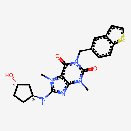 Cn1c(N[C@H]2CC[C@H](O)C2)nc2c1c(=O)n(Cc1ccc3sccc3c1)c(=O)n2C